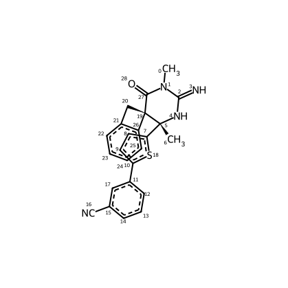 CN1C(=N)N[C@](C)(c2ccc(-c3cccc(C#N)c3)s2)[C@@]2(Cc3ccccc32)C1=O